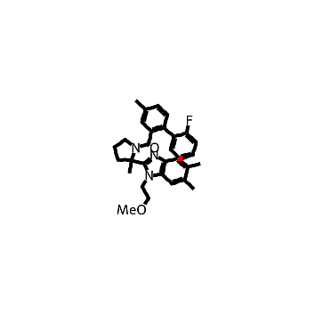 COCCn1c(C2(C)CCCN2C(=O)c2cc(C)ccc2-c2ccccc2F)nc2cc(C)c(C)cc21